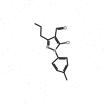 CCCc1nn(-c2ccc(C)cc2)c(Cl)c1C=O